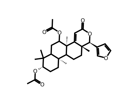 CC(=O)OC1CC2C(C)(C)[C@@H](OC(C)=O)CC[C@]2(C)C2CC[C@]3(C)C(=CC(=O)O[C@H]3c3ccoc3)[C@]12C